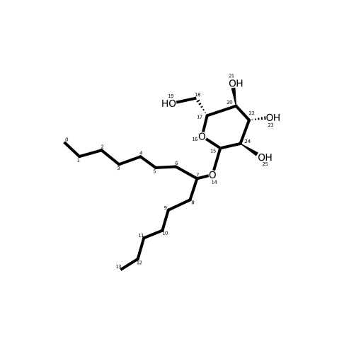 CCCCCCCC(CCCCCC)OC1O[C@H](CO)[C@@H](O)[C@H](O)[C@H]1O